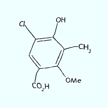 COc1c(C(=O)O)cc(Cl)c(O)c1C